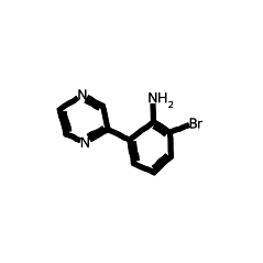 Nc1c(Br)cccc1-c1cnccn1